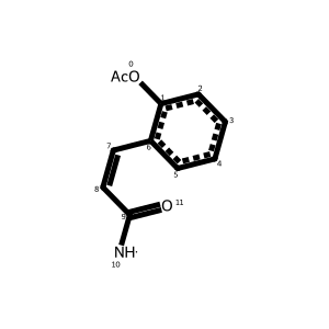 CC(=O)Oc1ccccc1/C=C\C([NH])=O